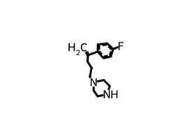 C=C(CCCN1CCNCC1)c1ccc(F)cc1